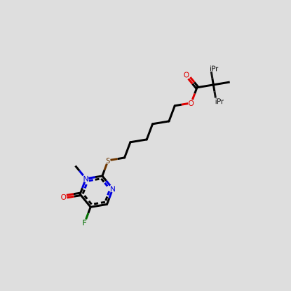 CC(C)C(C)(C(=O)OCCCCCCSc1ncc(F)c(=O)n1C)C(C)C